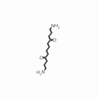 NCCCC(=O)CCCCC(=O)CCCN